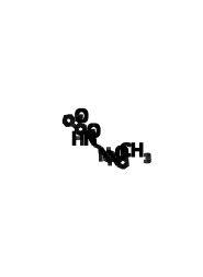 COc1ccccc1N1CCN(CCCCNC(=O)c2ccc3c(c2)C(=O)c2ccccc2-3)CC1